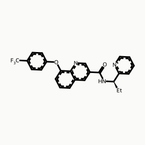 CC[C@@H](NC(=O)c1cnc2c(Oc3ccc(C(F)(F)F)cc3)cccc2c1)c1ccccn1